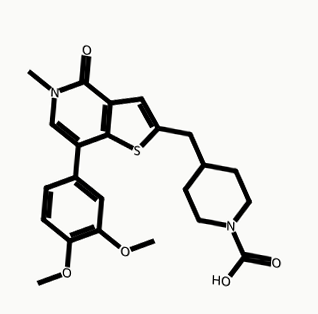 COc1ccc(-c2cn(C)c(=O)c3cc(CC4CCN(C(=O)O)CC4)sc23)cc1OC